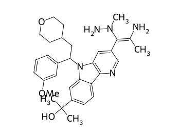 COc1cccc(C(CC2CCOCC2)n2c3cc(C(C)(C)O)ccc3c3ncc(/C(=C(\C)N)N(C)N)cc32)c1